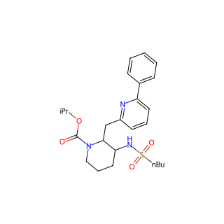 CCCCS(=O)(=O)NC1CCCN(C(=O)OC(C)C)C1Cc1cccc(-c2ccccc2)n1